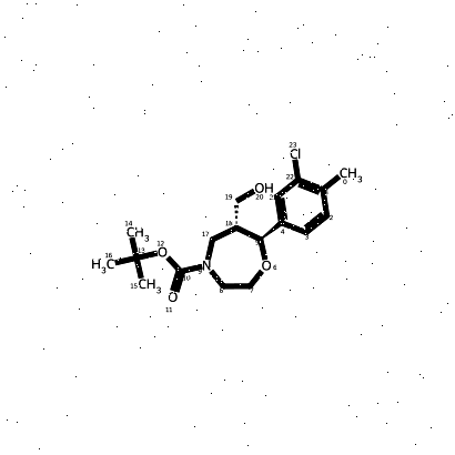 Cc1ccc([C@H]2OCCN(C(=O)OC(C)(C)C)C[C@@H]2CO)cc1Cl